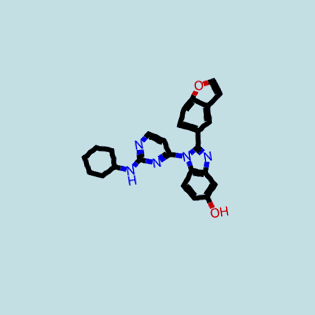 Oc1ccc2c(c1)nc(-c1ccc3occc3c1)n2-c1ccnc(NC2CCCCC2)n1